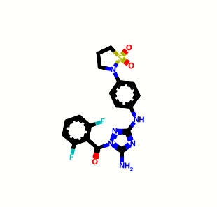 Nc1nc(Nc2ccc(N3CCCS3(=O)=O)cc2)nn1C(=O)c1c(F)cccc1F